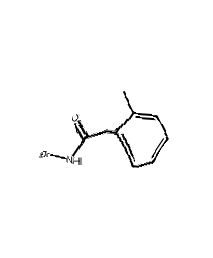 Cc1ccccc1C(=O)NBr